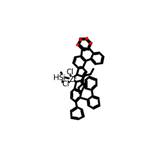 CCCC1=Cc2c(ccc(-c3ccccc3)c2-c2ccccc2-c2ccccc2)[CH]1[Zr]([Cl])([Cl])([CH]1C(CCC)=Cc2c1ccc(-c1ccccc1)c2-c1ccccc1-c1ccccc1)[SiH](C)C